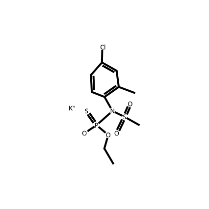 CCOP([O-])(=S)N(c1ccc(Cl)cc1C)S(C)(=O)=O.[K+]